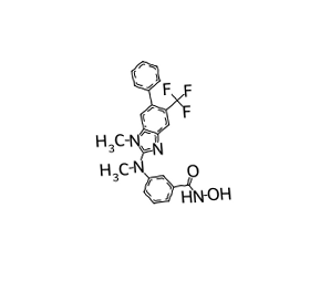 CN(c1cccc(C(=O)NO)c1)c1nc2cc(C(F)(F)F)c(-c3ccccc3)cc2n1C